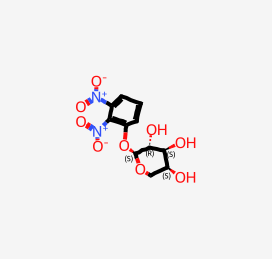 O=[N+]([O-])c1cccc(O[C@@H]2OC[C@H](O)[C@H](O)[C@H]2O)c1[N+](=O)[O-]